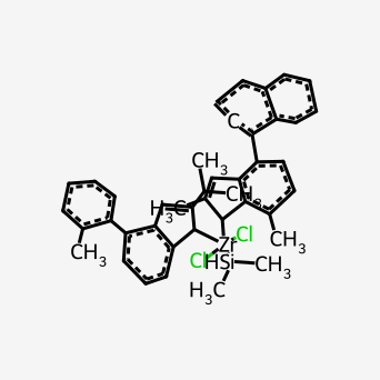 CC1=Cc2c(-c3cccc4ccccc34)ccc(C)c2[CH]1[Zr]([Cl])([Cl])([CH]1C(C(C)C)=Cc2c(-c3ccccc3C)cccc21)[SiH](C)C